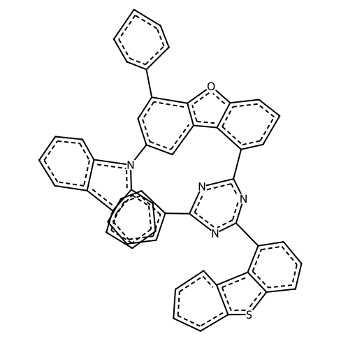 c1ccc(-c2nc(-c3cccc4oc5c(-c6ccccc6)cc(-n6c7ccccc7c7ccccc76)cc5c34)nc(-c3cccc4sc5ccccc5c34)n2)cc1